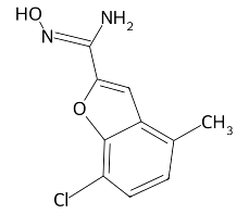 Cc1ccc(Cl)c2oc(/C(N)=N/O)cc12